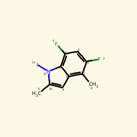 Cc1c(F)cc(F)c2c1cc(C)n2I